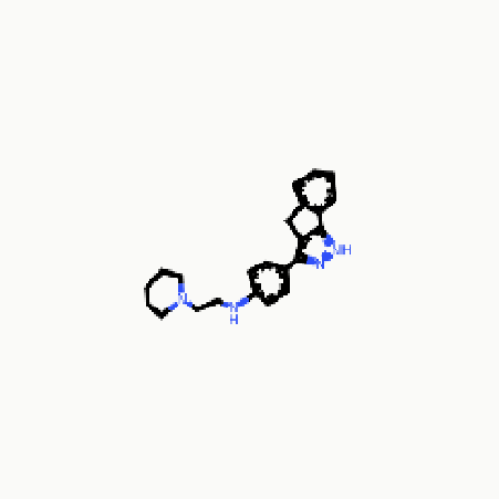 c1ccc2c(c1)Cc1c(-c3ccc(NCCN4CCCCC4)cc3)n[nH]c1-2